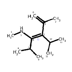 C=C(C)/C(=C(\NC)C(C)C)C(C)C